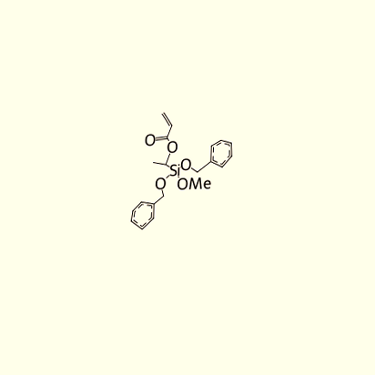 C=CC(=O)OC(C)[Si](OC)(OCc1ccccc1)OCc1ccccc1